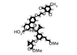 COCCCc1cc(OCC2(CC(=O)OC)CC2)cc(C(NC(=O)C2CN(C(=O)O)CCC2c2ccc(OCCOc3c(Cl)cc(C)cc3Cl)cc2)C2CC2)c1